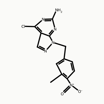 Cc1cc(Cn2ncc3c(Cl)nc(N)nc32)ccc1[N+](=O)[O-]